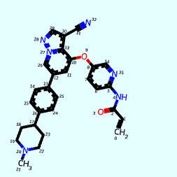 C=CC(=O)Nc1ccc(Oc2cc(-c3ccc(C4CCN(C)CC4)cc3)cn3ncc(C#N)c23)cn1